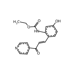 CCOC(=O)Nc1cc(O)ccc1C=CC(=O)c1ccncc1